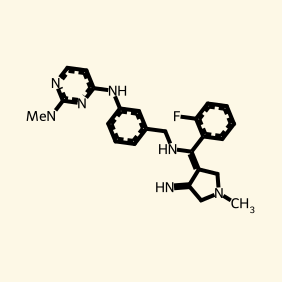 CNc1nccc(Nc2cccc(CN/C(=C3/CN(C)CC3=N)c3ccccc3F)c2)n1